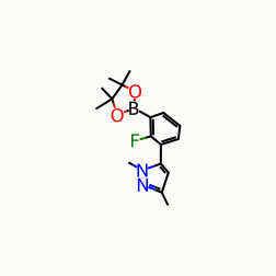 Cc1cc(-c2cccc(B3OC(C)(C)C(C)(C)O3)c2F)n(C)n1